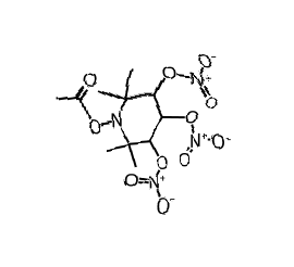 CC(=O)ON1C(C)(C)C(O[N+](=O)[O-])C(O[N+](=O)[O-])C(O[N+](=O)[O-])C1(C)C